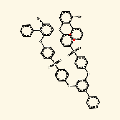 O=S(=O)(c1ccc(Oc2cc(Oc3ccc(S(=O)(=O)c4ccc(Oc5cccc(Br)c5-c5ccccc5)cc4)cc3)cc(-c3ccccc3)c2)cc1)c1ccc(Oc2cccc(Br)c2-c2ccccc2)cc1